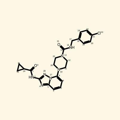 O=C(Nc1nc2cccc(N3CCN(C(=O)NCc4ccc(Cl)cc4)CC3)n2n1)C1CC1